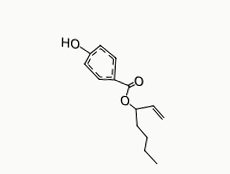 C=CC(CCCC)OC(=O)c1ccc(O)cc1